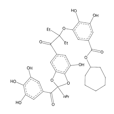 CCCC1(C(=O)c2cc(O)c(O)c(O)c2)Oc2cc(C(=O)C(CC)(CC)Oc3cc(C(=O)OC4CCCCCC4)cc(O)c3O)cc(O)c2O1